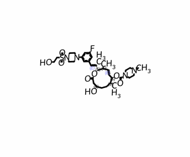 C/C(=C\c1cc(F)cc(N2CCN(S(=O)(=O)CCO)CC2)c1)[C@H]1OC(=O)C[C@H](O)CC[C@H](C)[C@H](OC(=O)N2CCN(C)CC2)/C=C/[C@@H]1C